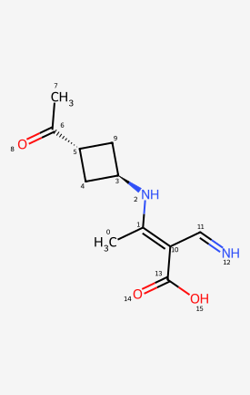 C/C(N[C@H]1C[C@H](C(C)=O)C1)=C(/C=N)C(=O)O